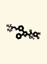 CC(C)CSc1cccc(-c2cc(N(C)C(=O)[C@@H]3CNC(=O)C3)nn2-c2ccccc2)c1